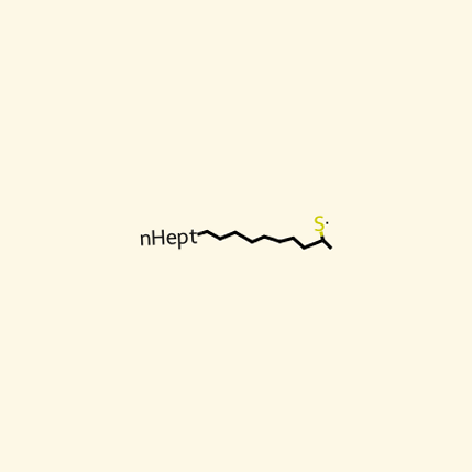 CCCCCCCCCCCCCCCC(C)[S]